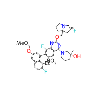 CCc1c(F)ccc2cc(OCOC)cc(-c3c([N+](=O)[O-])cc4c(N5CCCC(C)(O)C5)nc(OC[C@@]56CCCN5C[C@H](F)C6)nc4c3F)c12